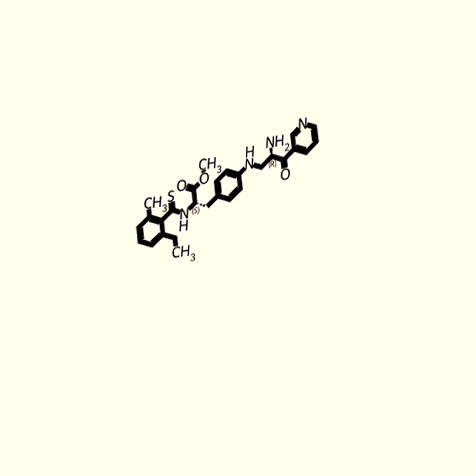 CCc1cccc(C)c1C(=S)N[C@@H](Cc1ccc(NC[C@@H](N)C(=O)c2cccnc2)cc1)C(=O)OC